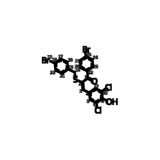 O=C(/C(=C\c1cc(Cl)c(O)c(Cl)c1)SCc1ccc(Br)cc1)c1ccc(Br)cc1